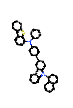 c1ccc(N(c2ccc(-c3ccc4c(c3)c3ccccc3n4-c3cccc4ccccc34)cc2)c2cccc3c2sc2ccccc23)cc1